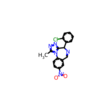 Cc1nnc2n1-c1ccc([N+](=O)[O-])cc1C=NC2c1ccccc1Cl